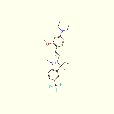 CCN(CC)c1ccc(/C=C/C2=[N+](C)c3ccc(C(F)(F)F)cc3C2(C)CC)c(OC)c1